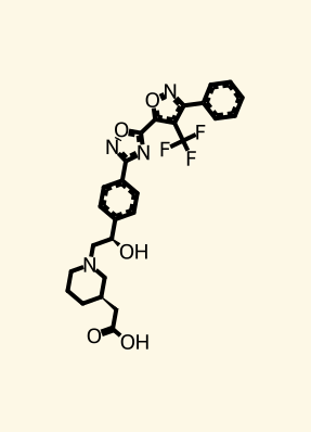 O=C(O)C[C@H]1CCCN(C[C@H](O)c2ccc(-c3noc(-c4onc(-c5ccccc5)c4C(F)(F)F)n3)cc2)C1